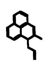 C=CCC1C(C)=Cc2cccc3cccc1c23